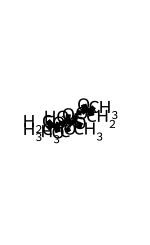 C=C(C)C(=O)OC[C@H]1O[C@](O)(COC(=O)C(=C)C)[C@@H](OC)[C@@H]1OC